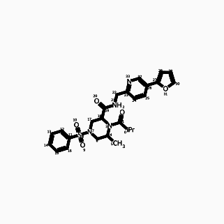 CC(C)C(=O)N1C(C)CN(S(=O)(=O)c2ccccc2)CC1C(=O)NCc1ccc(-c2ccco2)cn1